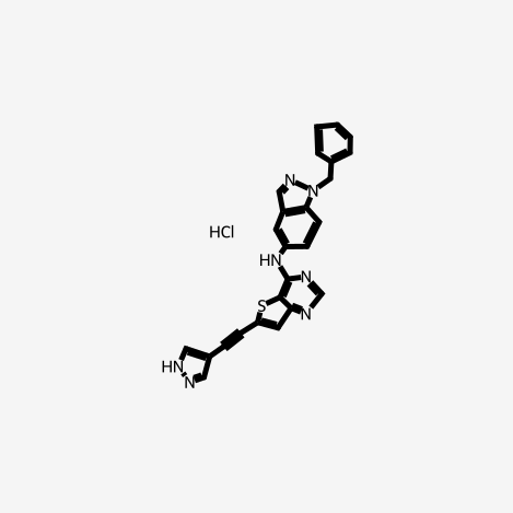 C(#Cc1cc2ncnc(Nc3ccc4c(cnn4Cc4ccccc4)c3)c2s1)c1cn[nH]c1.Cl